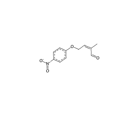 CC(C=O)=CCOc1ccc([N+](=O)[O-])cc1